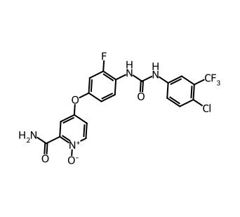 NC(=O)c1cc(Oc2ccc(NC(=O)Nc3ccc(Cl)c(C(F)(F)F)c3)c(F)c2)cc[n+]1[O-]